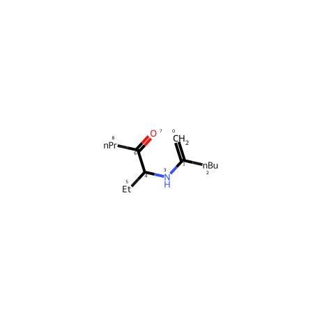 C=C(CCCC)NC(CC)C(=O)CCC